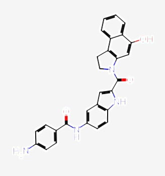 Nc1ccc(C(=O)Nc2ccc3[nH]c(C(=O)N4CCc5c4cc(O)c4ccccc54)cc3c2)cc1